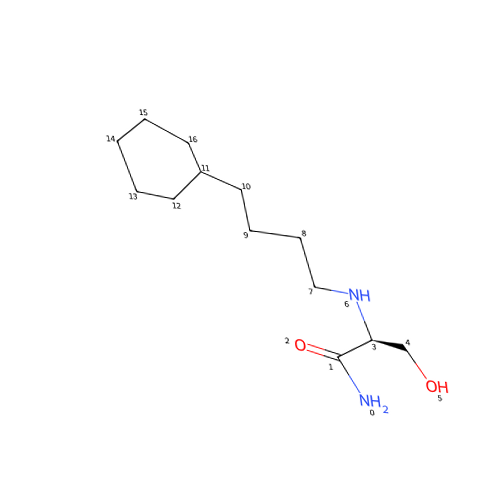 NC(=O)[C@H](CO)NCCCCC1CCCCC1